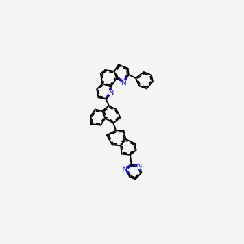 c1ccc(-c2ccc3ccc4ccc(-c5ccc(-c6ccc7cc(-c8ncccn8)ccc7c6)c6ccccc56)nc4c3n2)cc1